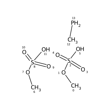 COS(=O)(=O)O.COS(=O)(=O)O.CP